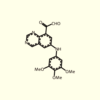 COc1cc(Nc2cc(C(=O)C=O)c3ncncc3c2)cc(OC)c1OC